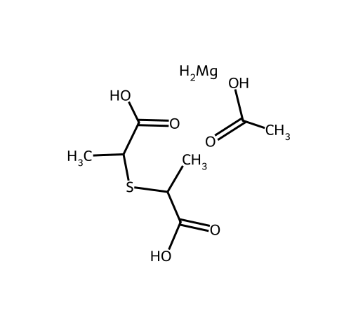 CC(=O)O.CC(SC(C)C(=O)O)C(=O)O.[MgH2]